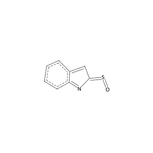 O=S=C1C=c2ccccc2=N1